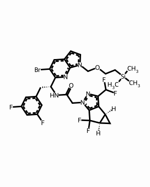 C[Si](C)(C)CCOCn1ccc2cc(Br)c([C@@H](Cc3cc(F)cc(F)c3)NC(=O)Cn3nc(C(F)F)c4c3C(F)(F)[C@@H]3C[C@H]43)nc21